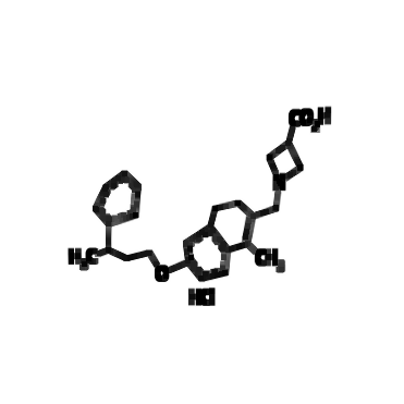 CC1=C(CN2CC(C(=O)O)C2)CCc2cc(OCCC(C)c3ccccc3)ccc21.Cl